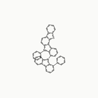 c1ccc(-c2cccc3c4ccccc4n(-c4cccc5c6c7sc8ccccc8c7ccc6n(-c6ccccc6)c45)c23)cc1